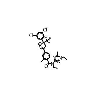 CCN(C(=O)c1ccc(C2=NOC(c3cc(Cl)cc(Cl)c3)(C(F)(F)F)C2)cc1C)c1nc(C)n(CC)n1